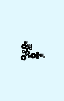 NS(=O)(=O)c1ccc(/N=C2\S/C(=C3\C(=O)Nc4c(Br)cccc43)C(=O)N2C2CCCCC2)cc1